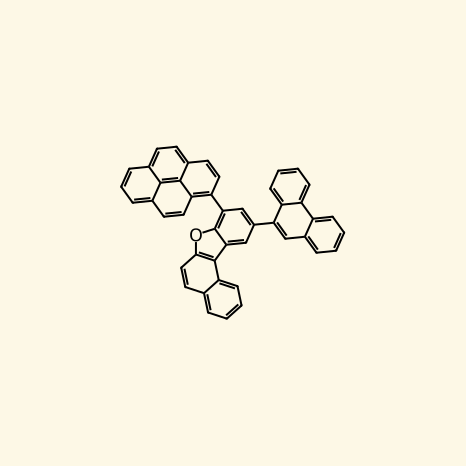 c1ccc2c(c1)cc(-c1cc(-c3ccc4ccc5cccc6ccc3c4c56)c3oc4ccc5ccccc5c4c3c1)c1ccccc12